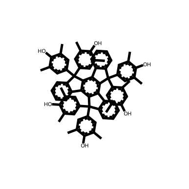 Cc1cc(C2(c3cc(C)c(O)c(C)c3)c3ccccc3-c3c4c(c5c(c32)-c2ccccc2C5(c2cc(C)c(O)c(C)c2)c2cc(C)c(O)c(C)c2)-c2ccccc2C4(c2cc(C)c(O)c(C)c2)c2cc(C)c(O)c(C)c2)c(C)cc1O